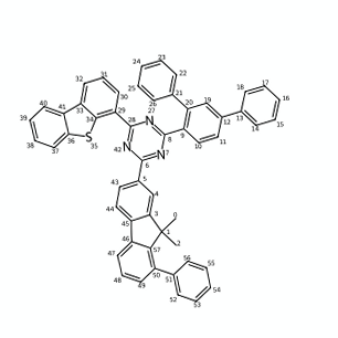 CC1(C)c2cc(-c3nc(-c4ccc(-c5ccccc5)cc4-c4ccccc4)nc(-c4cccc5c4sc4ccccc45)n3)ccc2-c2cccc(-c3ccccc3)c21